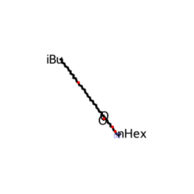 CCCCCC/C=C\CCCCCCCC(=O)OCCCCCCCCCCCCCCCCCCCCCCCCCCCCCCC(C)CC